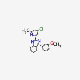 COc1cccc(-c2nc(-c3cc(Cl)cc(C)n3)nc3ccccc23)c1